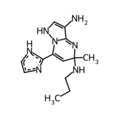 CCCNC1(C)C=C(c2ncc[nH]2)N2NC=C(N)C2=N1